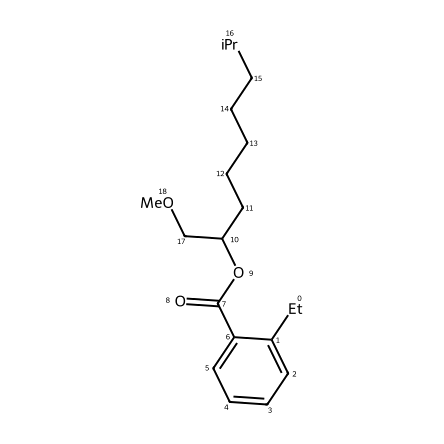 CCc1ccccc1C(=O)OC(CCCCCC(C)C)COC